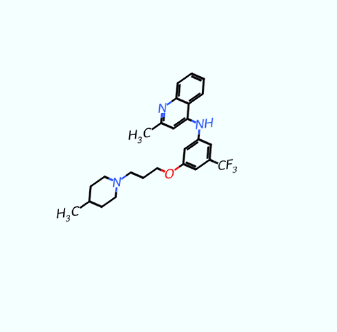 Cc1cc(Nc2cc(OCCCN3CCC(C)CC3)cc(C(F)(F)F)c2)c2ccccc2n1